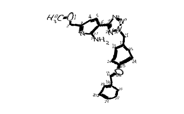 COCc1ccc(-c2nnn(Cc3ccc(OCc4ccccc4)cc3)n2)c(N)n1